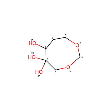 OC1CCOCOCC1(O)O